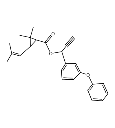 C#CC(OC(=O)C1C(C=C(C)C)C1(C)C)c1cccc(Oc2ccccc2)c1